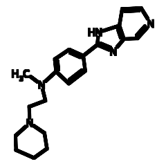 CN(CCN1CCCCC1)c1ccc(-c2nc3cnccc3[nH]2)cc1